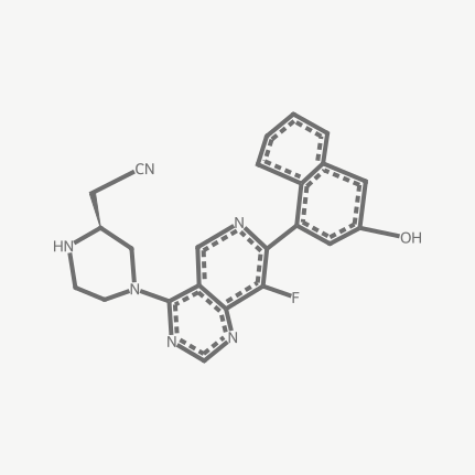 N#CC[C@H]1CN(c2ncnc3c(F)c(-c4cc(O)cc5ccccc45)ncc23)CCN1